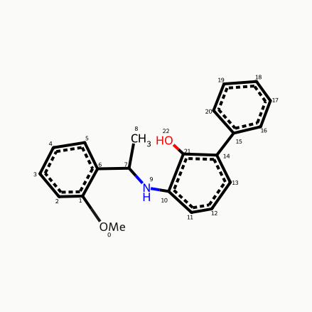 COc1ccccc1C(C)Nc1cccc(-c2ccccc2)c1O